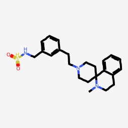 CN1CCc2ccccc2C12CCN(CCc1cccc(CN[SH](=O)=O)c1)CC2